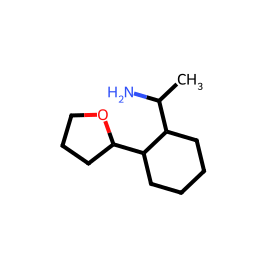 CC(N)C1CCCCC1C1CCCO1